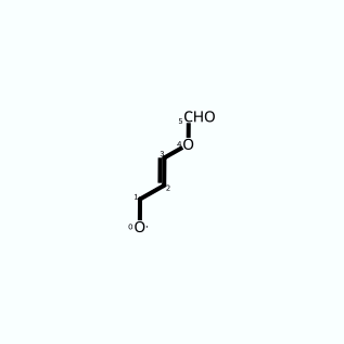 [O]CC=COC=O